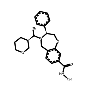 O=C(NO)c1ccc2c(c1)OC[C@H](c1ccccc1)N(C(O)[C@@H]1CCCOC1)C2